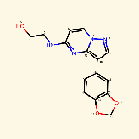 OCCNc1ccn2ncc(-c3ccc4c(c3)OCO4)c2n1